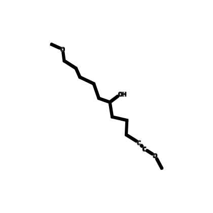 COCCCCCC(O)CCCCCOC